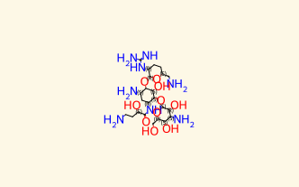 N=C(N)N[C@@H]1CC[C@@H](CN)O[C@@H]1OC1[C@@H](N)C[C@@H](NC(=O)[C@@H](O)CCN)[C@H](O[C@H]2O[C@H](CO)[C@@H](O)[C@H](N)[C@H]2O)[C@H]1O